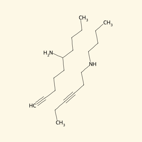 C#CCCCC(N)CCCC.CCC#CCCNCCCC